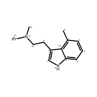 Cc1cccc2[nH]cc(CCN(C)C(C)C)c12